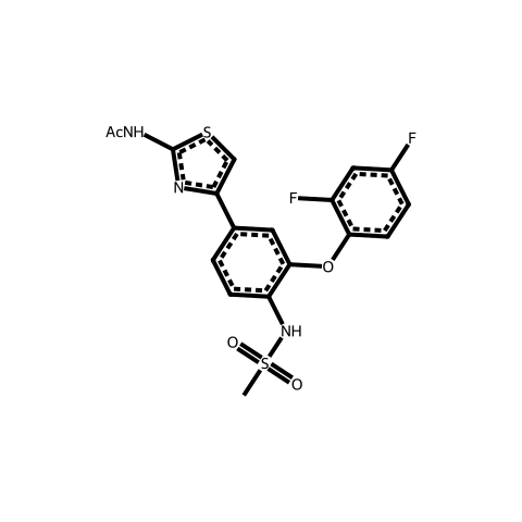 CC(=O)Nc1nc(-c2ccc(NS(C)(=O)=O)c(Oc3ccc(F)cc3F)c2)cs1